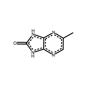 Cc1cnc2[nH]c(=O)[nH]c2n1